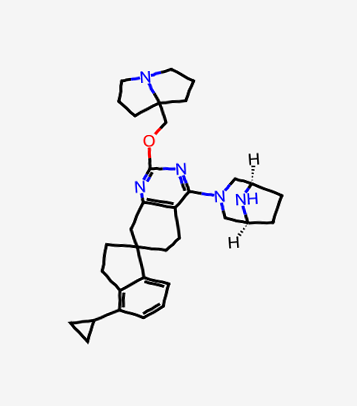 c1cc(C2CC2)c2c(c1)C1(CC2)CCc2c(nc(OCC34CCCN3CCC4)nc2N2C[C@H]3CC[C@@H](C2)N3)C1